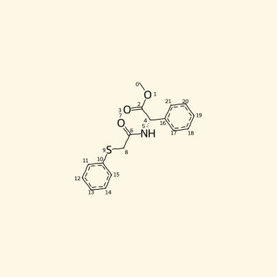 COC(=O)[C@@H](NC(=O)CSc1ccccc1)c1ccccc1